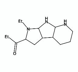 CCC(=O)C1CC2C3CCCNC3NC2N1CC